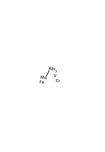 [AlH2][Mo].[Cr].[Fe].[V]